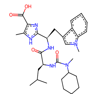 Cc1[nH]c([C@@H](Cc2cn(C)c3ccccc23)NC(=O)[C@H](CC(C)C)NC(=O)N(C)C2CCCCC2)nc1C(=O)O